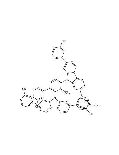 N#Cc1cccc(-c2ccc3c4ccc(-c5cccc(C#N)c5)cc4n(-c4ccc(-c5cccc(C#N)c5)c(-n5c6cc(-c7cccc(C#N)c7)ccc6c6ccc(-c7cccc(C#N)c7)cc65)c4C(F)(F)F)c3c2)c1